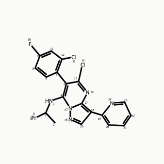 CC(C)C(C)Nc1c(-c2ccc(F)cc2Cl)c(Cl)nc2c(-c3ccccn3)cnn12